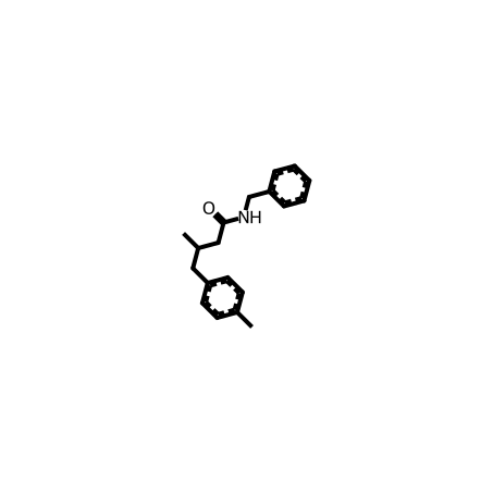 Cc1ccc(CC(C)CC(=O)NCc2ccccc2)cc1